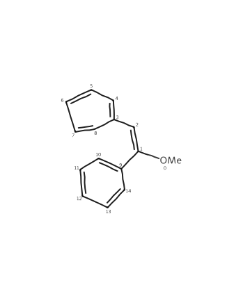 COC(=Cc1ccccc1)c1ccccc1